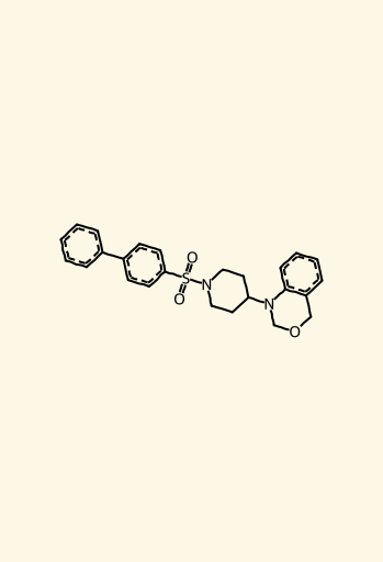 O=S(=O)(c1ccc(-c2ccccc2)cc1)N1CCC(N2COCc3ccccc32)CC1